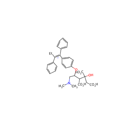 CC/C(=C(\c1ccccc1)c1ccc(OC(CN(C)C)C(C(=O)O)C(O)(CC(=O)O)C(=O)O)cc1)c1ccccc1